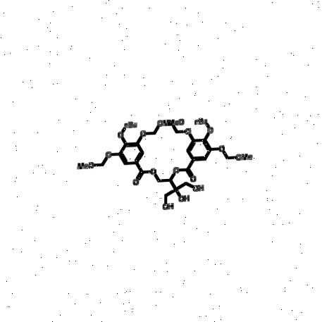 CCCCOc1c(OCOC)cc(C(=O)OCC(OC(=O)c2cc(OCOC)c(OCCCC)c(OCOC)c2)C(O)(CO)CO)cc1OCOC